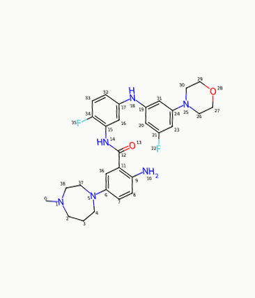 CN1CCCN(c2ccc(N)c(C(=O)Nc3cc(Nc4cc(F)cc(N5CCOCC5)c4)ccc3F)c2)CC1